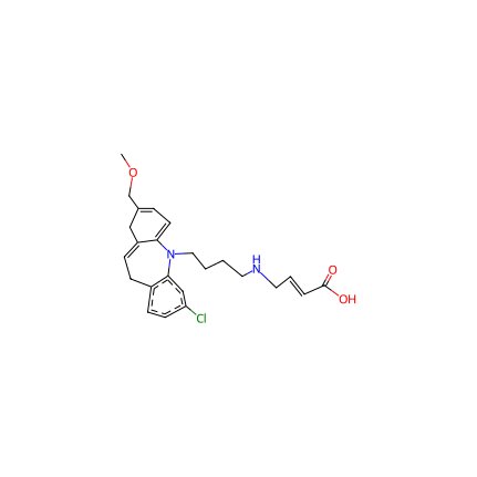 COCC1=CC=C2C(=CCc3ccc(Cl)cc3N2CCCCNCC=CC(=O)O)C1